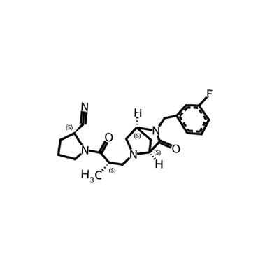 C[C@@H](CN1C[C@@H]2C[C@H]1C(=O)N2Cc1cccc(F)c1)C(=O)N1CCC[C@H]1C#N